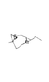 CCC1B2CCC3(C)CB3C21